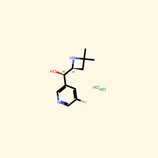 CC1(C)C[C@@H]([C@H](O)c2cncc(F)c2)N1.Cl.Cl